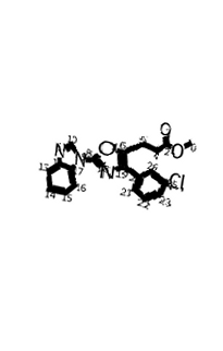 COC(=O)CCc1oc(-n2cnc3ccccc32)nc1-c1cccc(Cl)c1